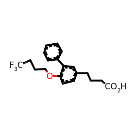 O=C(O)CCCc1ccc(OCCCC(F)(F)F)c(-c2ccccc2)c1